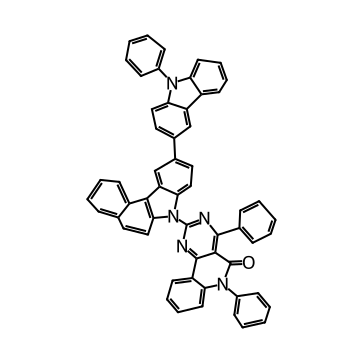 O=c1c2c(-c3ccccc3)nc(-n3c4ccc(-c5ccc6c(c5)c5ccccc5n6-c5ccccc5)cc4c4c5ccccc5ccc43)nc2c2ccccc2n1-c1ccccc1